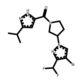 CC(C)c1cc(C(=O)N2CCC(n3cc(Br)c(C(F)F)n3)C2)[nH]n1